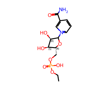 CCOP(=O)(O)OC[C@H]1OC([n+]2cccc(C(N)=O)c2)[C@H](O)[C@@H]1O